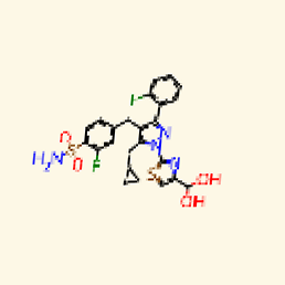 NS(=O)(=O)c1ccc(Cc2c(-c3ccccc3F)nn(-c3nc(C(O)O)cs3)c2CC2CC2)cc1F